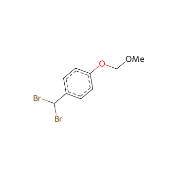 COCOc1ccc(C(Br)Br)cc1